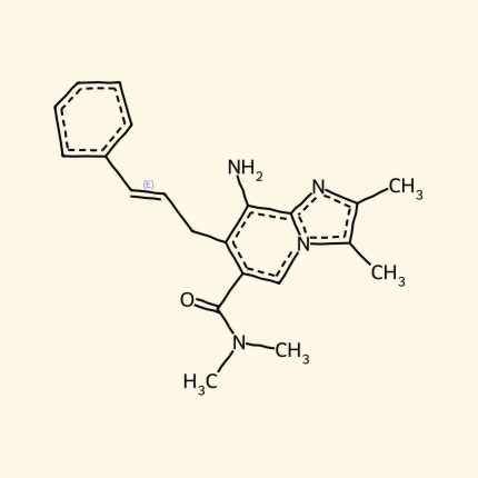 Cc1nc2c(N)c(C/C=C/c3ccccc3)c(C(=O)N(C)C)cn2c1C